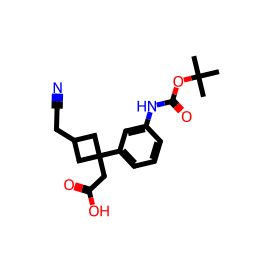 CC(C)(C)OC(=O)Nc1cccc(C2(CC(=O)O)CC(CC#N)C2)c1